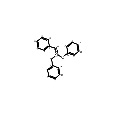 c1ccc(C[SiH](Oc2ccccc2)Oc2ccccc2)cc1